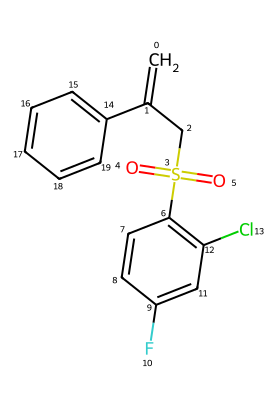 C=C(CS(=O)(=O)c1ccc(F)cc1Cl)c1ccccc1